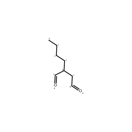 CCCCC(C=O)CC=O